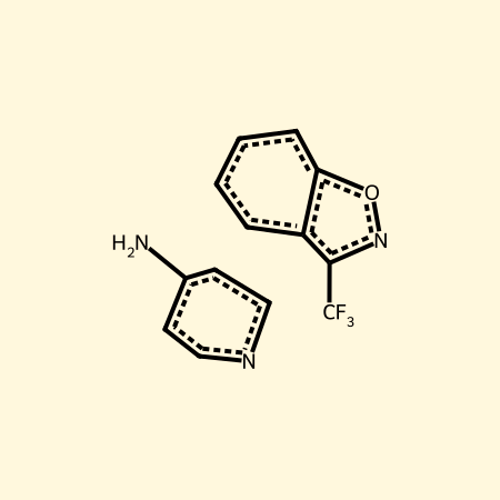 FC(F)(F)c1noc2ccccc12.Nc1ccncc1